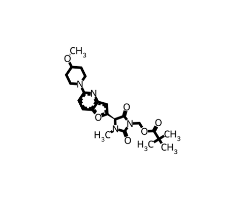 COC1CCN(c2ccc3oc([C@H]4C(=O)N(COC(=O)C(C)(C)C)C(=O)N4C)cc3n2)CC1